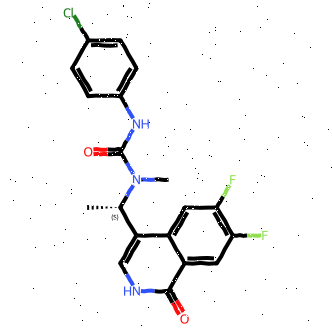 C[C@@H](c1c[nH]c(=O)c2cc(F)c(F)cc12)N(C)C(=O)Nc1ccc(Cl)cc1